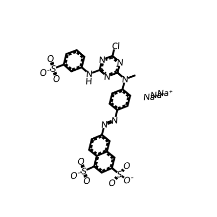 CN(c1ccc(N=Nc2ccc3c(S(=O)(=O)[O-])cc(S(=O)(=O)[O-])cc3c2)cc1)c1nc(Cl)nc(Nc2cccc(S(=O)(=O)[O-])c2)n1.[Na+].[Na+].[Na+]